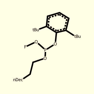 CCCCCCCCCCCCOP(OF)Oc1c(C(C)(C)C)cccc1C(C)(C)C